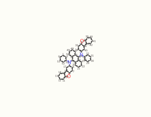 c1ccc(N(c2ccc3oc4ccccc4c3c2)c2c3ccccc3c(N(c3ccccc3)c3ccc4oc5ccccc5c4c3)c3ccccc23)cc1